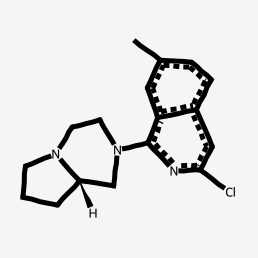 Cc1ccc2cc(Cl)nc(N3CCN4CCC[C@H]4C3)c2c1